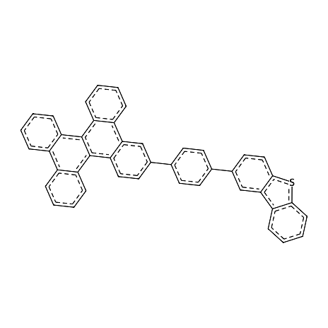 c1ccc2c(c1)sc1ccc(-c3ccc(-c4ccc5c(c4)c4ccccc4c4c6ccccc6c6ccccc6c54)cc3)cc12